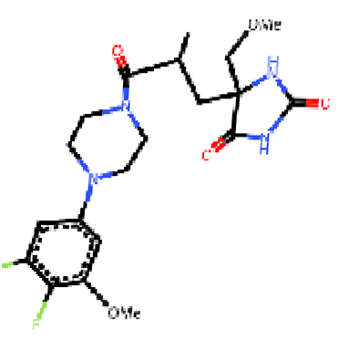 COCC1(CC(C)C(=O)N2CCN(c3cc(F)c(F)c(OC)c3)CC2)NC(=O)NC1=O